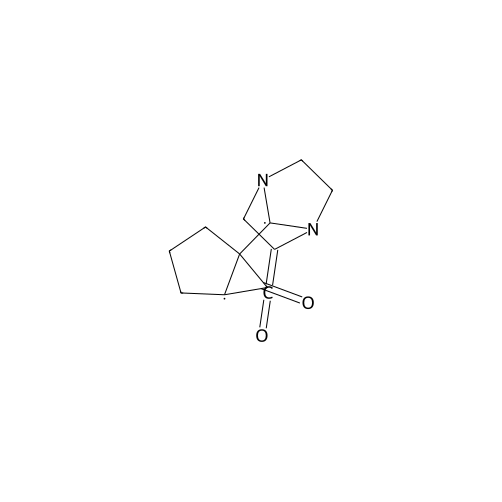 O=C=C1CN2CCN1[C]2C12CCC[C]1C2=O